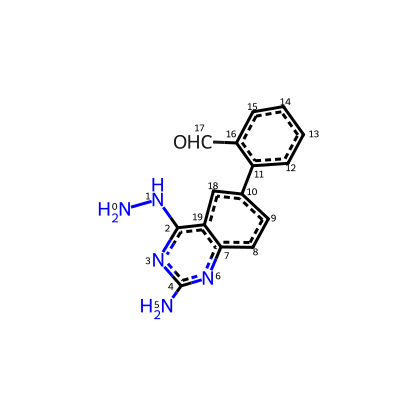 NNc1nc(N)nc2ccc(-c3ccccc3C=O)cc12